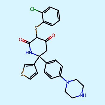 O=C1CC(c2ccc(N3CCNCC3)cc2)(c2ccsc2)NC(=O)C1Sc1ccccc1Cl